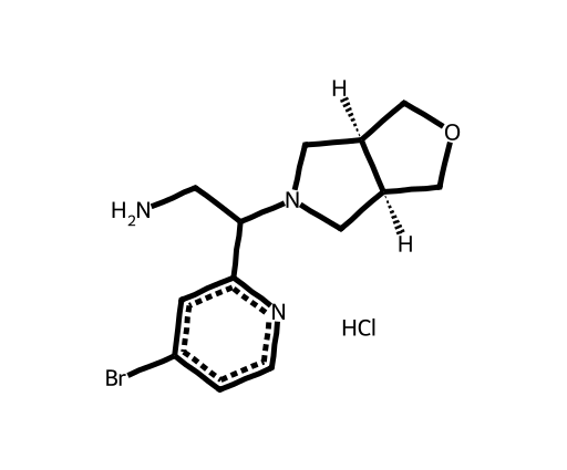 Cl.NCC(c1cc(Br)ccn1)N1C[C@H]2COC[C@H]2C1